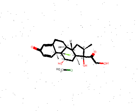 C[C@@H]1C[C@H]2[C@@H]3CCC4=CC(=O)C=C[C@]4(C)[C@@]3(F)[C@@H](O)C[C@]2(C)[C@@]1(O)C(=O)CO.O=C(O)Cl